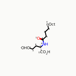 CCCCCCCCCCCC(=O)N[C@@H](CC[C]=O)C(=O)O